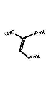 CCCCCC=C(C=O)CCCCC